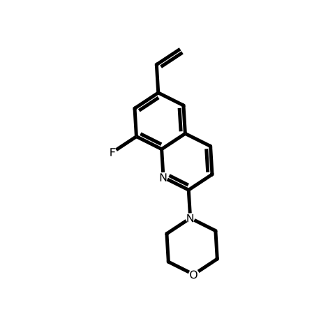 C=Cc1cc(F)c2nc(N3CCOCC3)ccc2c1